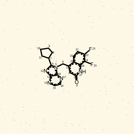 O=c1cc(Cn2c(C3CCCC3)nc3nccnc32)c2ccc(F)c(F)c2[nH]1